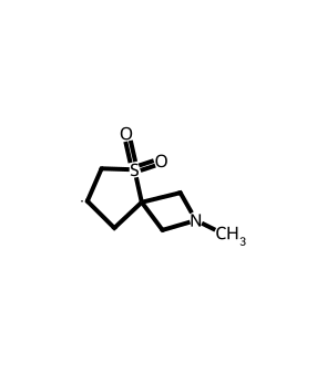 CN1CC2(C[CH]CS2(=O)=O)C1